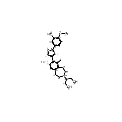 Cc1c(-c2noc(-c3ccc(OC(C)C)c(C#N)c3)n2)ccc2c1CCN(C(CO)CO)CC2.Cl